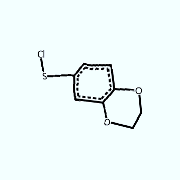 ClSc1ccc2c(c1)OCCO2